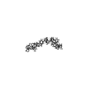 COC(=O)N[C@H](C(=O)N1CCCC1c1ncc(-c2ccc(-c3csc4c3SCC4c3cnc(C4CCCN4C(=O)[C@@H](NC(=O)OC)C(C)C)[nH]3)cc2)[nH]1)C(C)C